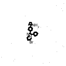 NC1(c2ccc(-c3nc4ccc(Br)cn4c3-c3ccccc3)cc2)CCC1